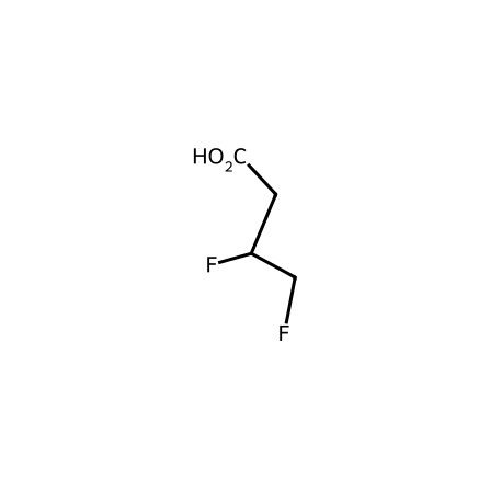 O=C(O)CC(F)CF